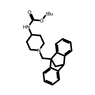 CC(C)(C)OC(=O)NC1CCN(CC23CC(c4ccccc42)c2ccccc23)CC1